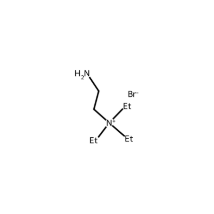 CC[N+](CC)(CC)CCN.[Br-]